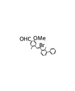 COc1cc(/C=C(\Br)c2cccc(-c3ccccc3)c2C)c(C)cc1C=O